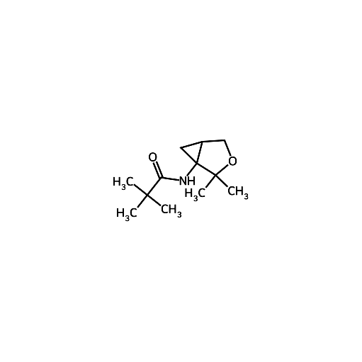 CC(C)(C)C(=O)NC12CC1COC2(C)C